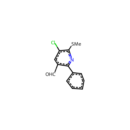 CSc1nc(-c2ccccc2)c(C=O)cc1Cl